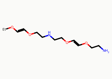 CCOC=COCCNCCOC=COCCN